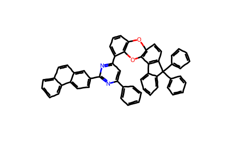 c1ccc(-c2cc(-c3cccc4c3Oc3c(ccc5c3-c3ccccc3C5(c3ccccc3)c3ccccc3)O4)nc(-c3ccc4c(ccc5ccccc54)c3)n2)cc1